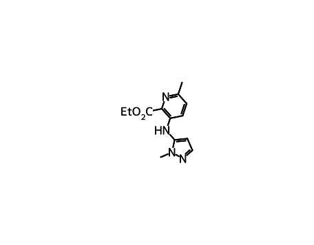 CCOC(=O)c1nc(C)ccc1Nc1ccnn1C